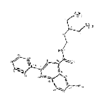 CCN(CC)CCNC(=O)c1cc(-c2ccccc2)nc2ccc(F)cc12